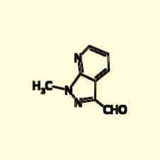 Cn1nc(C=O)c2cccnc21